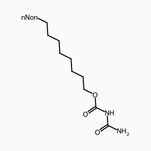 CCCCCCCCCCCCCCCCCOC(=O)NC(N)=O